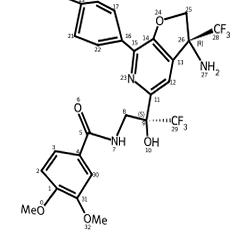 COc1ccc(C(=O)NC[C@](O)(c2cc3c(c(-c4ccc(F)cc4)n2)OC[C@@]3(N)C(F)(F)F)C(F)(F)F)cc1OC